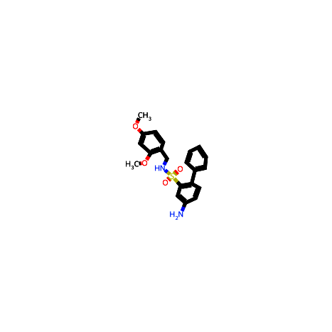 COc1ccc(CNS(=O)(=O)c2cc(N)ccc2-c2ccccc2)c(OC)c1